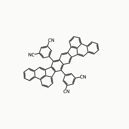 N#Cc1cc(C#N)cc(-c2c3cc4c(cc3c(-c3cc(C#N)cc(C#N)c3)c3c5cc6ccccc6c6cccc(c23)c65)c2cccc3c5ccccc5cc4c32)c1